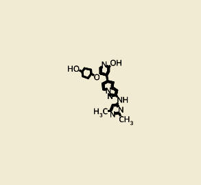 Cc1cc(Nc2cc3cc(-c4cc(O)ncc4OC4CCC(O)CC4)ccn3n2)nc(C)n1